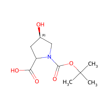 CC(C)(C)OC(=O)N1C[C@H](O)CC1C(=O)O